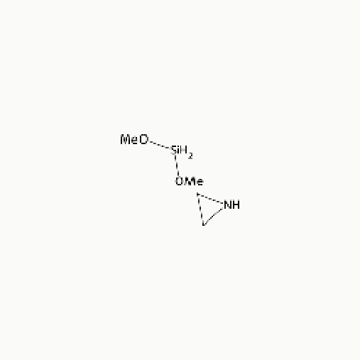 C1CN1.CO[SiH2]OC